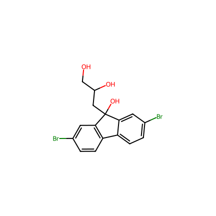 OCC(O)CC1(O)c2cc(Br)ccc2-c2ccc(Br)cc21